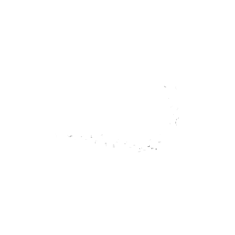 CCCCCCCC/C=C\CCCCCCCC(O)=C=CCCCCCCCCCCCCCCCC